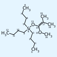 CCCC[Si](CCCC)(CCCC)OC(OC)=C(C)C